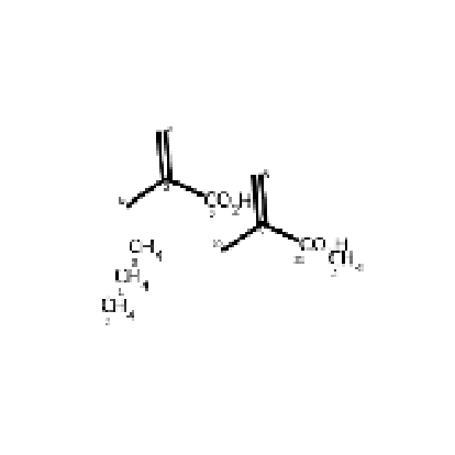 C.C.C.C.C=C(C)C(=O)O.C=C(C)C(=O)O